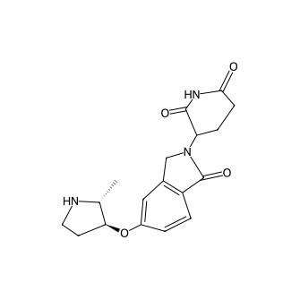 C[C@H]1NCC[C@@H]1Oc1ccc2c(c1)CN(C1CCC(=O)NC1=O)C2=O